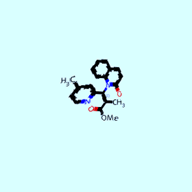 COC(=O)/C(C)=C(\c1cc(C)ccn1)n1c(=O)ccc2ccccc21